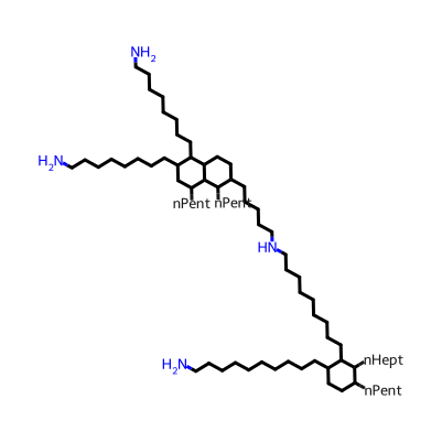 CCCCCCCC1C(CCCCC)CCC(CCCCCCCCCCN)C1CCCCCCCCCNCCCCCC1CCC2C(CCCCCCCCN)C(CCCCCCCCN)CC(CCCCC)C2C1CCCCC